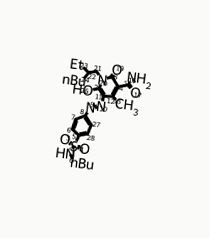 CCCCNS(=O)(=O)c1ccc(/N=N/c2c(C)c(C(N)=O)c(=O)n(CC(CC)CCCC)c2O)cc1